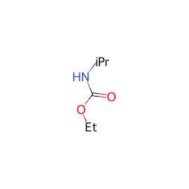 [CH2]COC(=O)NC(C)C